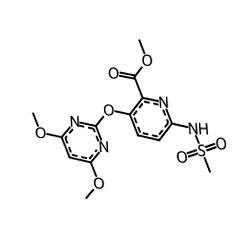 COC(=O)c1nc(NS(C)(=O)=O)ccc1Oc1nc(OC)cc(OC)n1